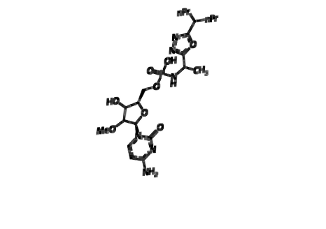 CCCC(CCC)c1nnc(C(C)NP(=O)(O)OC[C@H]2O[C@@H](n3ccc(N)nc3=O)C(OC)C2O)o1